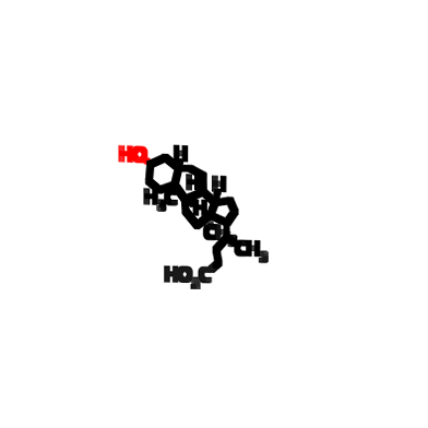 CC(CCC(=O)O)[C@H]1CC[C@H]2[C@@H]3CC[C@H]4C[C@@H](O)CC[C@]4(C)[C@H]3CC[C@]12C